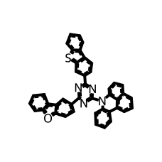 c1ccc2c(c1)-c1cccc3cccc(c13)N2c1nc(-c2ccc3c(c2)sc2ccccc23)nc(-c2ccc3oc4ccccc4c3c2)n1